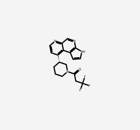 O=C(CC(F)(F)F)N1CCC[C@H](c2ccnc3cnc4[nH]ccc4c23)C1